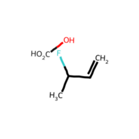 C=CC(C)F.O=C(O)O